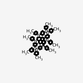 Cc1ccc(Oc2ccc(N(C3=CC(N(c4ccc(C)cc4)c4ccc(Oc5ccc(C)cc5)cc4)C4=CCc5c(N(c6ccc(C)cc6)c6ccc(Oc7ccc(C)cc7)cc6)cc(N(c6ccc(C)cc6)c6ccc(Oc7ccc(C)cc7)cc6)c6ccc3c4c56)c3ccc(C)cc3)cc2)cc1